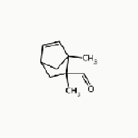 CC1(C=O)CC2C=CC1(C)C2